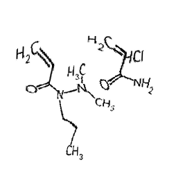 C=CC(=O)N(CCC)N(C)C.C=CC(N)=O.Cl